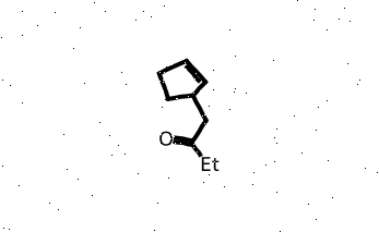 CCC(=O)CC1C=CCC1